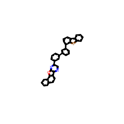 c1cc(-c2cccc(-c3cccc4c3sc3ccccc34)c2)cc(-c2cnc3c(n2)oc2c4ccccc4ccc32)c1